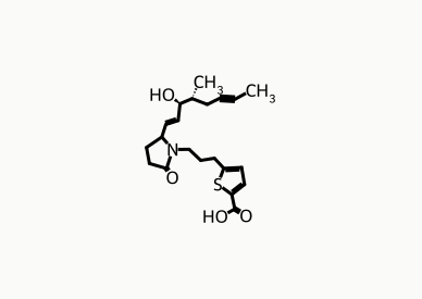 CC#CC[C@@H](C)[C@H](O)C=CC1CCC(=O)N1CCCc1ccc(C(=O)O)s1